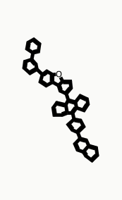 c1ccc(-c2cccc(-c3ccc4c(c3)oc3ccc(-c5c6ccccc6c(-c6ccc(-c7ccc8ccccc8c7)cc6)c6ccccc56)cc34)c2)cc1